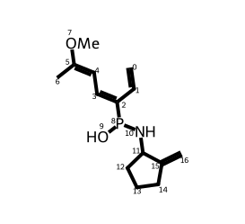 C=C/C(=C\C=C(/C)OC)P(O)NC1CCCC1=C